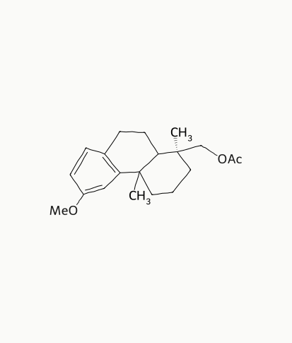 COc1ccc2c(c1)C1(C)CCC[C@](C)(COC(C)=O)C1CC2